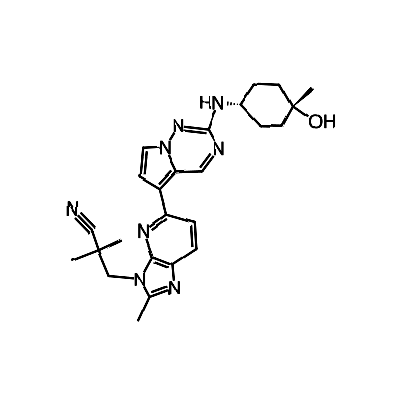 Cc1nc2ccc(-c3ccn4nc(N[C@H]5CC[C@@](C)(O)CC5)ncc34)nc2n1CC(C)(C)C#N